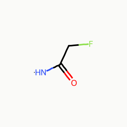 [NH]C(=O)CF